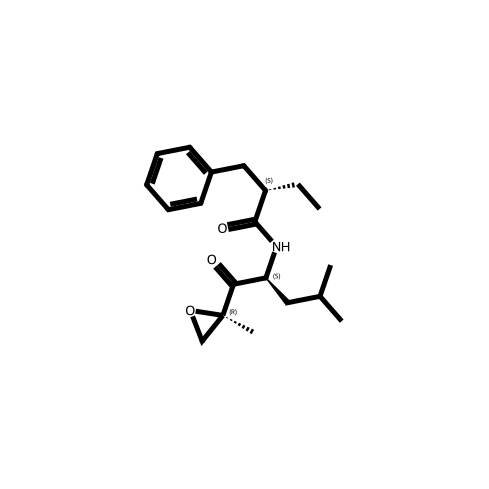 CC[C@@H](Cc1ccccc1)C(=O)N[C@@H](CC(C)C)C(=O)[C@@]1(C)CO1